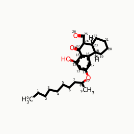 CCCCCCCCC(C)Oc1cc(O)c2c(c1)[C@@H]1CCCC[C@H]1C(C=O)C2=O